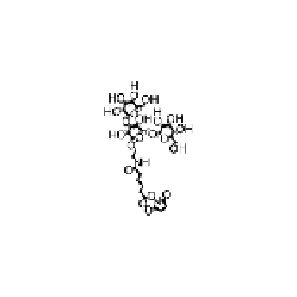 O=C(CCCCC(=O)ON1C(=O)CCC1=O)NCCO[C@H]1O[C@H](CO[C@H]2O[C@H](CO)[C@@H](O)[C@H](O)[C@@H]2O)[C@@H](O)[C@H](O[C@H]2O[C@H](CO)[C@@H](O)[C@H](O)[C@@H]2O)[C@H]1O